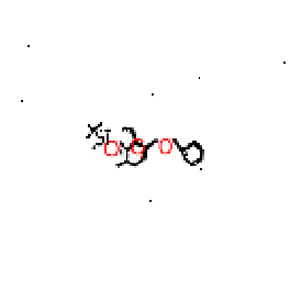 C=CC1C(COCc2ccccc2)C2CC(C)[C@@]1(CO[Si](C)(C)C(C)(C)C)O2